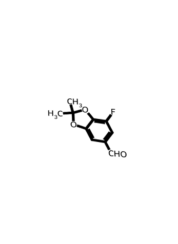 CC1(C)Oc2cc(C=O)cc(F)c2O1